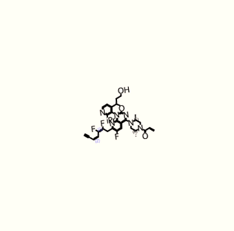 C#C/C=C\C(F)=C(\F)Cc1nc2c(cc1F)c(N1C[C@@H](C)N(C(=O)C=C)C[C@@H]1C)nc(=O)n2-c1c(C(C)CCO)ccnc1C(C)C